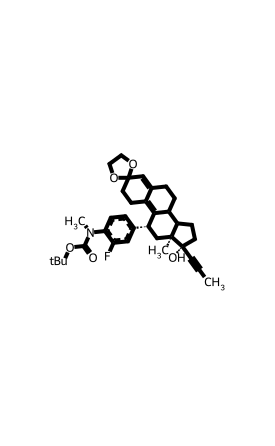 CC#C[C@]1(O)CCC2C3CCC4=CC5(CCC4=C3[C@@H](c3ccc(N(C)C(=O)OC(C)(C)C)c(F)c3)C[C@@]21C)OCCO5